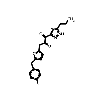 CCCc1nc(C(=O)C(=O)Cc2ccc(Cc3ccc(F)cc3)o2)n[nH]1